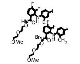 COCCOCCON(Br)C(=O)c1ccc(F)c(F)c1Nc1ccc(I)cc1C.COCCOCCONC(=O)c1ccc(F)c(F)c1Nc1ccc(I)cc1Cl